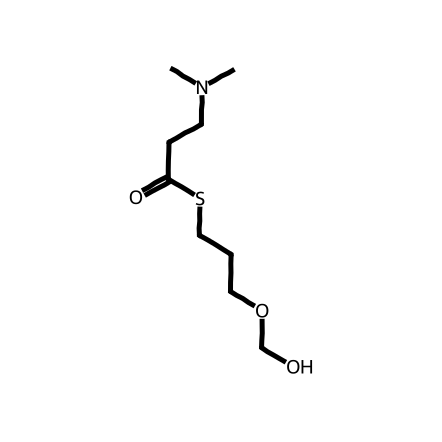 CN(C)CCC(=O)SCCCOCO